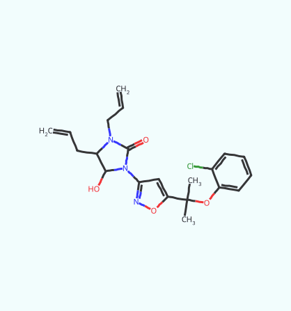 C=CCC1C(O)N(c2cc(C(C)(C)Oc3ccccc3Cl)on2)C(=O)N1CC=C